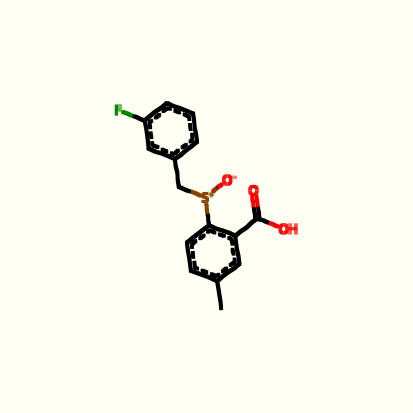 Cc1ccc([S+]([O-])Cc2cccc(F)c2)c(C(=O)O)c1